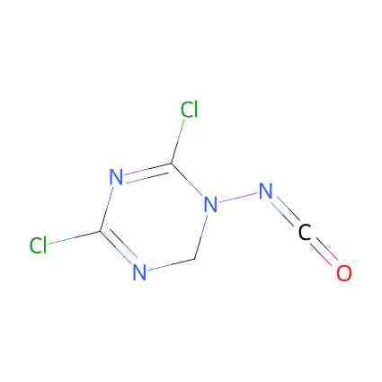 O=C=NN1CN=C(Cl)N=C1Cl